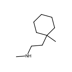 CNCCC1(C)CCCCC1